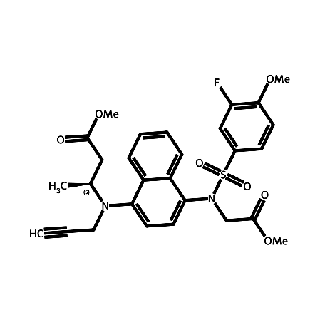 C#CCN(c1ccc(N(CC(=O)OC)S(=O)(=O)c2ccc(OC)c(F)c2)c2ccccc12)[C@@H](C)CC(=O)OC